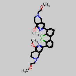 COCCN1CCc2c(cc(-c3cccc(-c4cccc(-c5cc6c(c(OC)n5)CCN(CCOC)C6)c4Cl)c3Cl)nc2OC)C1